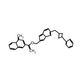 C=C(OCC1=CC2C=C(CC3CC(c4ccccc4)C3)C=CC2=C1)C1=CC(=C)C2C=CC=CC2=C1